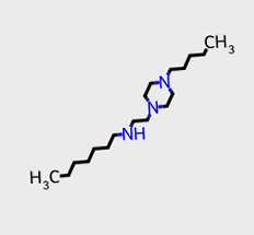 CCCCCCCNCCN1CCN(CCCCC)CC1